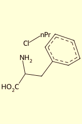 CCCCl.NC(Cc1ccccc1)C(=O)O